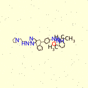 Cc1cccc(C(C)C)c1NC(=O)Nc1ccc(C2Cc3cnc(NCCCN4CCCC4)nc3-c3ccccc32)cc1